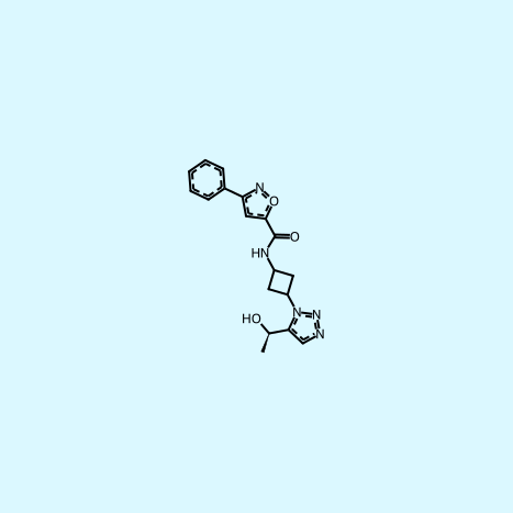 C[C@@H](O)c1cnnn1C1CC(NC(=O)c2cc(-c3ccccc3)no2)C1